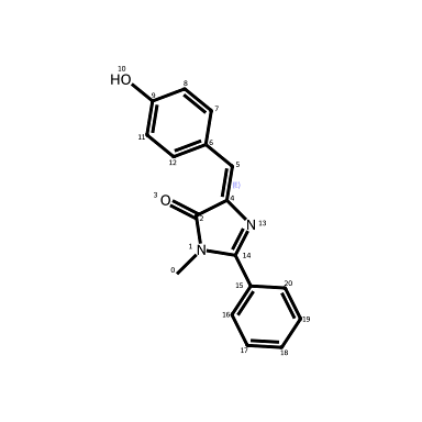 CN1C(=O)/C(=C\c2ccc(O)cc2)N=C1c1ccccc1